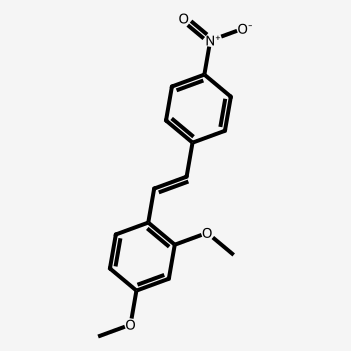 COc1ccc(/C=C/c2ccc([N+](=O)[O-])cc2)c(OC)c1